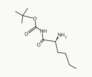 CCCC[C@H](N)C(=O)NC(=O)OC(C)(C)C